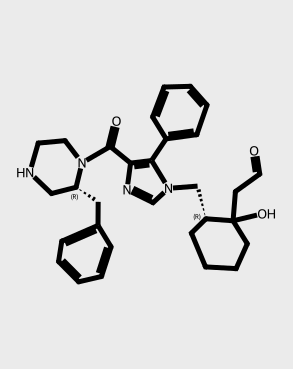 O=CCC1(O)CCCC[C@@H]1Cn1cnc(C(=O)N2CCNC[C@H]2Cc2ccccc2)c1-c1ccccc1